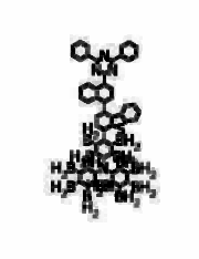 Bc1c(B)c(B)c(N(c2c(B)c(B)c(B)c(B)c2B)c2c(B)c(B)c(-c3ccc(-c4ccc(-c5nc(-c6ccccc6)nc(-c6ccccc6)n5)c5ccccc45)c4c3sc3ccccc34)c(B)c2B)c(B)c1B